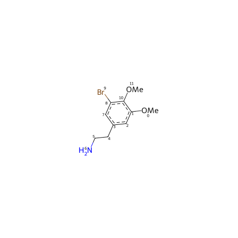 COc1cc(CCN)cc(Br)c1OC